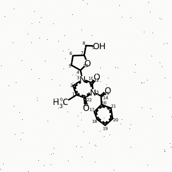 Cc1cn(C2CCC(CO)O2)c(=O)n(C(=O)c2ccccc2)c1=O